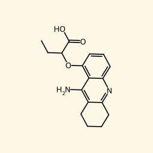 CCC(Oc1cccc2nc3c(c(N)c12)CCCC3)C(=O)O